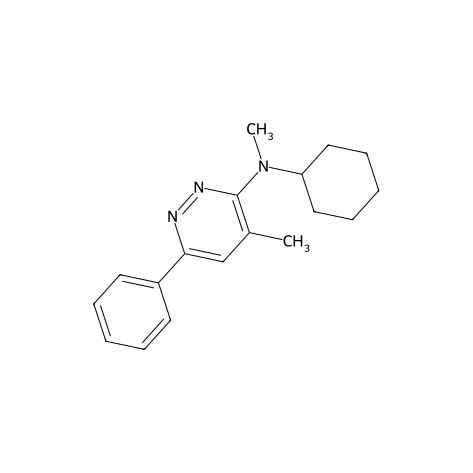 Cc1cc(-c2ccccc2)nnc1N(C)C1CCCCC1